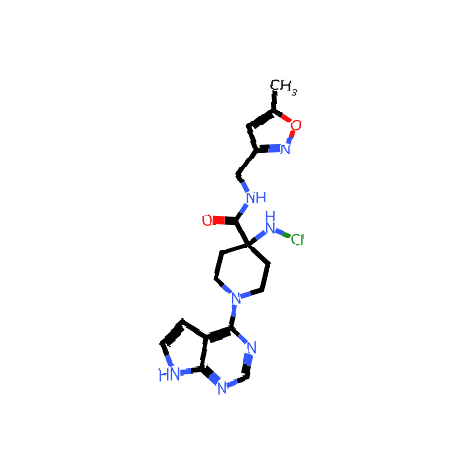 Cc1cc(CNC(=O)C2(NCl)CCN(c3ncnc4[nH]ccc34)CC2)no1